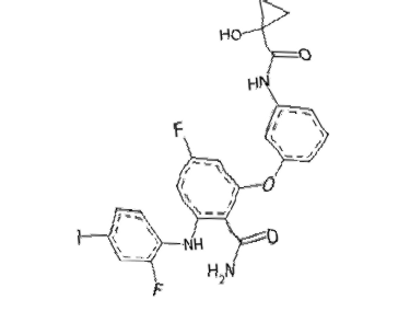 NC(=O)c1c(Nc2ccc(I)cc2F)cc(F)cc1Oc1cccc(NC(=O)C2(O)CC2)c1